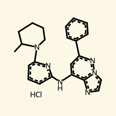 CC1CCCCN1c1cccc(Nc2cc(-c3ccccc3)nn3ccnc23)n1.Cl